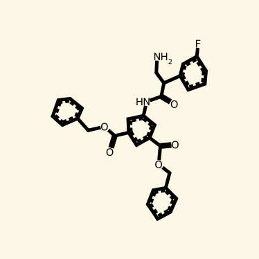 NCC(C(=O)Nc1cc(C(=O)OCc2ccccc2)cc(C(=O)OCc2ccccc2)c1)c1cccc(F)c1